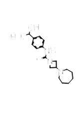 CC(C)c1ccc(NC(=O)N2CC(N3CCCCCC3)C2)cc1